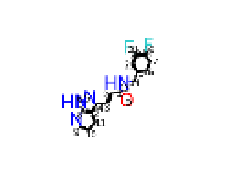 O=C(/C=C/c1n[nH]c2ncccc12)NCc1ccc(F)c(F)c1